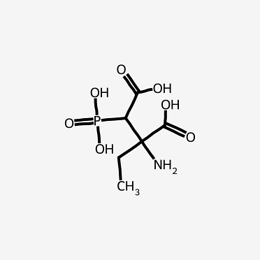 CCC(N)(C(=O)O)C(C(=O)O)P(=O)(O)O